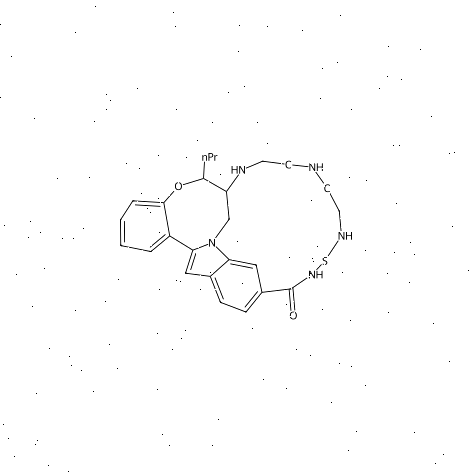 CCCC1Oc2ccccc2-c2cc3ccc4cc3n2CC1NCCNCCNSNC4=O